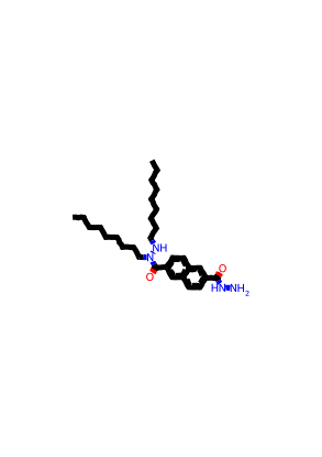 CCCCCCCCCNN(CCCCCCCCC)C(=O)c1ccc2cc(C(=O)NN)ccc2c1